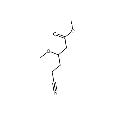 COC(=O)CC(CCC#N)OC